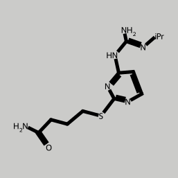 CC(C)N=C(N)Nc1ccnc(SCCCC(N)=O)n1